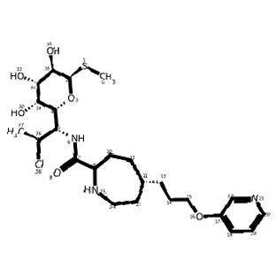 CS[C@H]1O[C@H]([C@H](NC(=O)C2CC[C@H](CCCOc3cccnc3)CCN2)[C@H](C)Cl)[C@H](O)[C@H](O)[C@H]1O